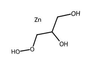 OCC(O)COO.[Zn]